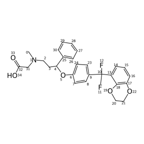 CN(CCC(Oc1ccc(C(F)(F)c2cccc3c2OCCO3)cc1)c1ccccc1)CC(=O)O